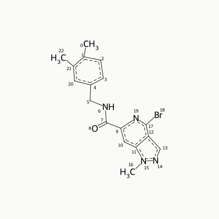 Cc1ccc(CNC(=O)c2cc3c(cnn3C)c(Br)n2)cc1C